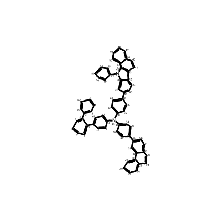 c1ccc(-c2ccccc2-c2ccc(N(c3ccc(-c4ccc5ccc6ccccc6c5c4)cc3)c3ccc(-c4ccc5c6ccc7ccccc7c6n(-c6ccccc6)c5c4)cc3)cc2)cc1